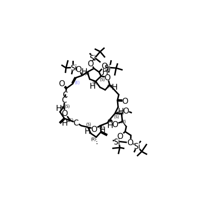 C=C1C[C@@H]2CCC(=O)/C=C/C(O[Si](C)(C)C(C)(C)C)[C@@H]3C[C@H]4CC[C@H](CC(=O)C[C@@H]5[C@@H](OC)[C@@H](CC(CO[Si](C)(C)C(C)(C)C)O[Si](C)(C)C(C)(C)C)O[C@H]5C[C@H]5O[C@@H](CC[C@@H]1O2)C[C@@H](C)C5=C)O[C@@H]4C(O[Si](C)(C)C(C)(C)C)C3O[Si](C)(C)C(C)(C)C